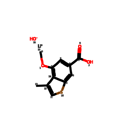 COc1cc(C(=O)O)cc2scc(C)c12.[Li+].[OH-]